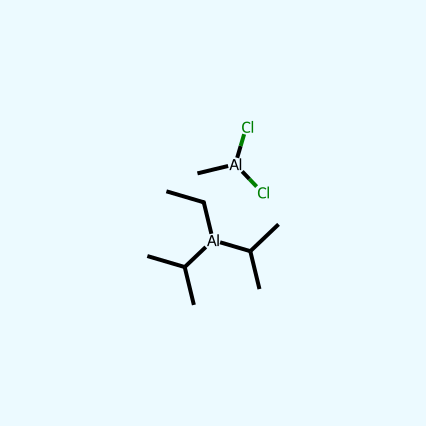 C[CH2][Al]([CH](C)C)[CH](C)C.[CH3][Al]([Cl])[Cl]